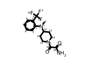 CN(c1ccccc1C(F)(F)F)C1CCN(C(=O)C(N)=O)CC1